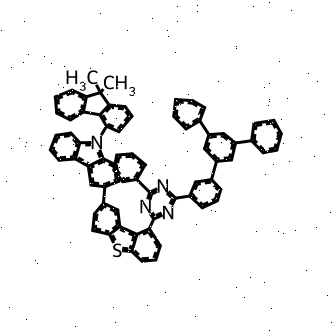 CC1(C)c2ccccc2-c2c(-n3c4ccccc4c4cc(-c5ccc6sc7cccc(-c8nc(-c9ccccc9)nc(-c9cccc(-c%10cc(-c%11ccccc%11)cc(-c%11ccccc%11)c%10)c9)n8)c7c6c5)ccc43)cccc21